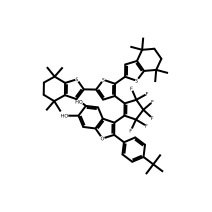 CC(C)(C)c1ccc(-c2oc3cc(O)c(O)cc3c2C2=C(c3cc(-c4cc5c(s4)C(C)(C)CCC5(C)C)sc3-c3cc4c(s3)C(C)(C)CCC4(C)C)C(F)(F)C(F)(F)C2(F)F)cc1